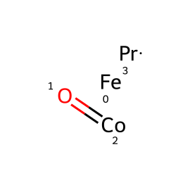 [Fe].[O]=[Co].[Pr]